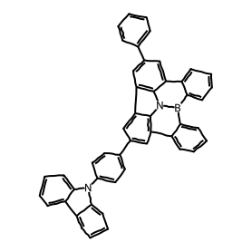 c1ccc(-c2cc3c4c(c2)c2cc(-c5ccc(-n6c7ccccc7c7ccccc76)cc5)cc5c2n4B(c2ccccc2-3)c2ccccc2-5)cc1